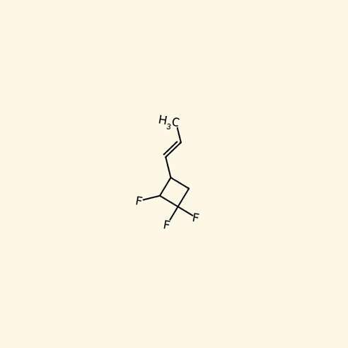 CC=CC1CC(F)(F)C1F